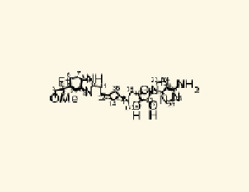 CCC(C)(COC)c1ccc2[nH]c(CCC3CC(N(C)C[C@H]4O[C@@H](n5cnc6c(N)ncnc65)[C@H](O)[C@@H]4O)C3)nc2c1